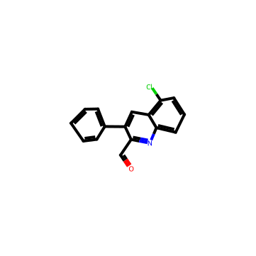 O=Cc1nc2cccc(Cl)c2cc1-c1ccccc1